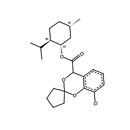 CC(C)[C@H]1CC[C@H](C)C[C@@H]1OC(=O)C1OC2(CCCC2)Oc2c(Cl)cccc21